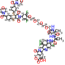 CC[C@@]1(O)C(=O)OCc2c1cc1n(c2=O)Cc2c-1nc1cc(F)c(NC(=O)[C@H](C)NC(=O)C(C)(NC(=O)COCCOCCOCCOc3c(F)cc(N4C(=O)C(Sc5ccc(C(=O)N6CCOCC6)cc5)=C(Sc5ccc(C(=O)N6CCOCC6)cc5)C4=O)cc3F)C(C)C)c3c1c2C(F)(F)CC3